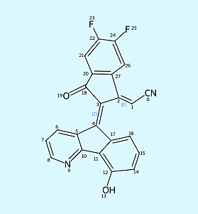 N#C/C=C1/C(=C2/c3cccnc3-c3c(O)cccc32)C(=O)c2cc(F)c(F)cc21